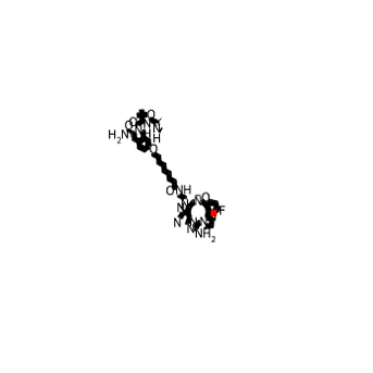 CN[C@@H](C)C(=O)N[C@H](C(=O)N1Cc2cc(OCCCCCCCCC(=O)NCCn3nc(C#N)c4c3CN(C)C(=O)c3ccc(F)cc3[C@H]3CCCN3c3nc-4cnc3N)ccc2C[C@H]1C(N)=O)C(C)(C)C